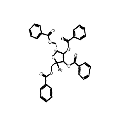 O=C(OC[C@H]1OC(Br)(COC(=O)c2ccccc2)C(OC(=O)c2ccccc2)C1OC(=O)c1ccccc1)c1ccccc1